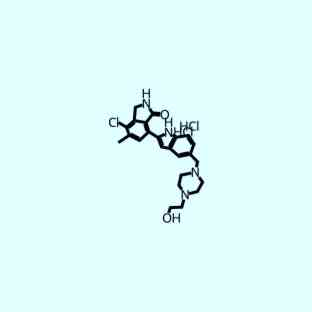 Cc1cc(-c2cc3cc(CN4CCN(CCO)CC4)ccc3[nH]2)c2c(c1Cl)CNC2=O.Cl.Cl